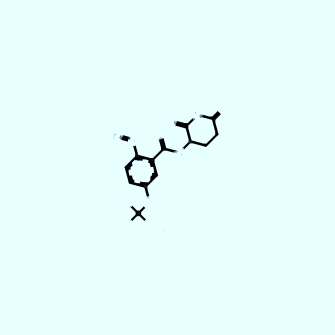 CC(C)(C)Oc1ccc(N=N)c(C(=O)NC2CCC(=O)NC2=O)c1